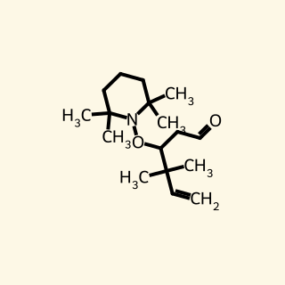 C=CC(C)(C)C(CC=O)ON1C(C)(C)CCCC1(C)C